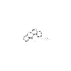 COc1ccc2ncc3sc4ccccc4c(=O)c3c2c1